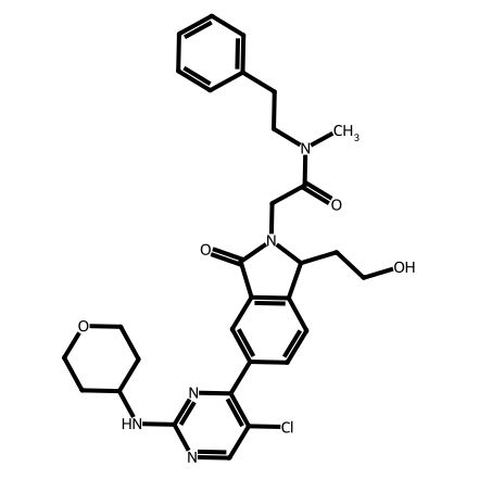 CN(CCc1ccccc1)C(=O)CN1C(=O)c2cc(-c3nc(NC4CCOCC4)ncc3Cl)ccc2C1CCO